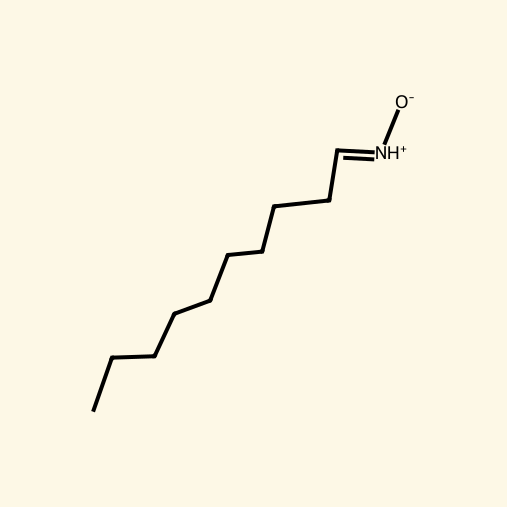 CCCCCCCCCC=[NH+][O-]